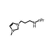 CCCNCCCN1C=CN(C)C1